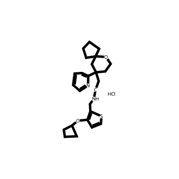 Cl.c1ccc(C2(CCNCc3sccc3OC3CCC3)CCOC3(CCCC3)C2)nc1